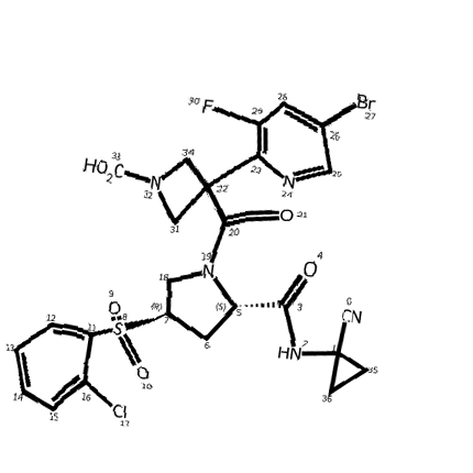 N#CC1(NC(=O)[C@@H]2C[C@@H](S(=O)(=O)c3ccccc3Cl)CN2C(=O)C2(c3ncc(Br)cc3F)CN(C(=O)O)C2)CC1